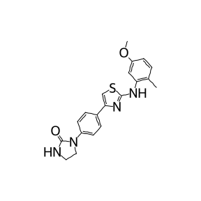 COc1ccc(C)c(Nc2nc(-c3ccc(N4CCNC4=O)cc3)cs2)c1